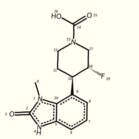 Cn1c(=O)[nH]c2cccc([C@H]3CCN(C(=O)O)C[C@@H]3F)c21